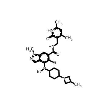 CCc1c(C(=O)NCc2c(C)cc(C)[nH]c2=O)cc2c(cnn2C)c1N(CC)C1CCC(N2CC(C)C2)CC1